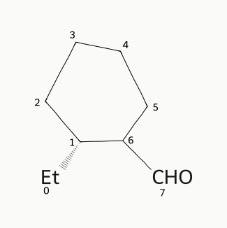 CC[C@@H]1CCCCC1C=O